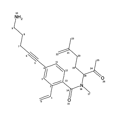 C=Cc1cc(C#CCCCN)ccc1C(=O)N(C)C(CCC(=C)C)C(C)=O